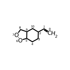 C=CC1CCC2OOCC2C1